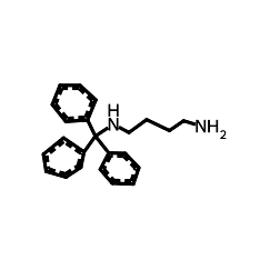 NCCCCNC(c1ccccc1)(c1ccccc1)c1ccccc1